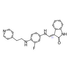 O=C1Nc2ccccc2/C1=C\Nc1ccc(NCCc2ccncc2)c(F)c1